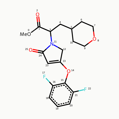 COC(=O)C(CC1CCOCC1)N1CC(Oc2c(F)cccc2F)=CC1=O